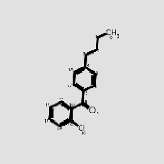 CCCCc1ccc(C(=O)c2ccccc2Cl)cc1